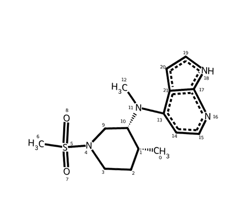 C[C@@H]1CCN(S(C)(=O)=O)C[C@@H]1N(C)c1ccnc2[nH]ccc12